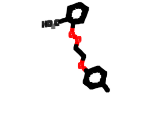 Cc1ccc(OCCOOc2ccccc2C(=O)O)cc1